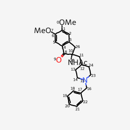 COc1cc2c(cc1OC)C(=O)C(CC1CCN(Cc3ccccc3)CC1)(NC(C)=O)C2